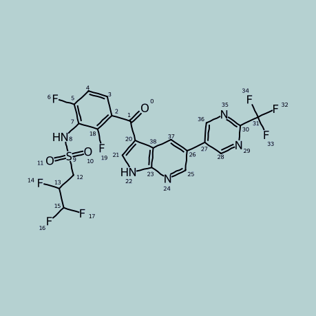 O=C(c1ccc(F)c(NS(=O)(=O)CC(F)C(F)F)c1F)c1c[nH]c2ncc(-c3cnc(C(F)(F)F)nc3)cc12